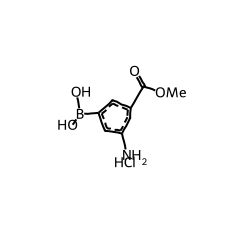 COC(=O)c1cc(N)cc(B(O)O)c1.Cl